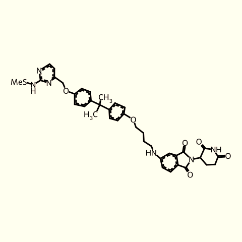 CSNc1nccc(COc2ccc(C(C)(C)c3ccc(OCCCCNc4ccc5c(c4)C(=O)N(C4CCC(=O)NC4=O)C5=O)cc3)cc2)n1